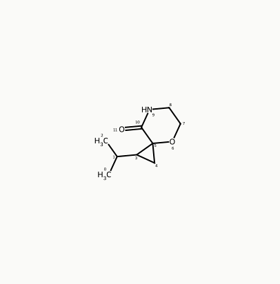 CC(C)C1CC12OCCNC2=O